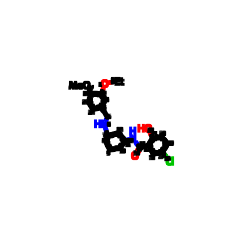 CCOc1cc(CNc2cccc(NC(=O)c3cc(Cl)ccc3O)c2)ccc1OC